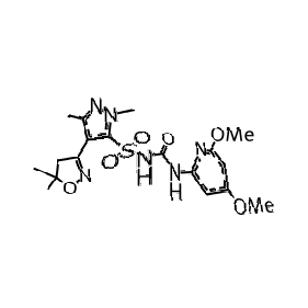 COc1cc(NC(=O)NS(=O)(=O)c2c(C3=NOC(C)(C)C3)c(C)nn2C)nc(OC)c1